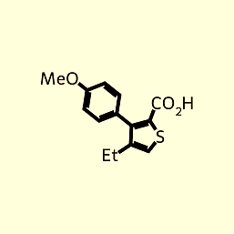 CCc1csc(C(=O)O)c1-c1ccc(OC)cc1